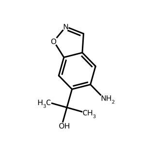 CC(C)(O)c1cc2oncc2cc1N